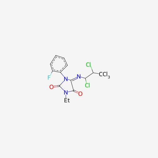 CCN1C(=O)C(=NC(Cl)C(Cl)C(Cl)(Cl)Cl)N(c2ccccc2F)C1=O